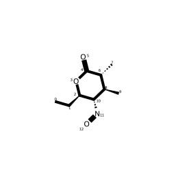 CC[C@H]1OC(=O)[C@H](C)[C@@H](C)[C@@H]1N=O